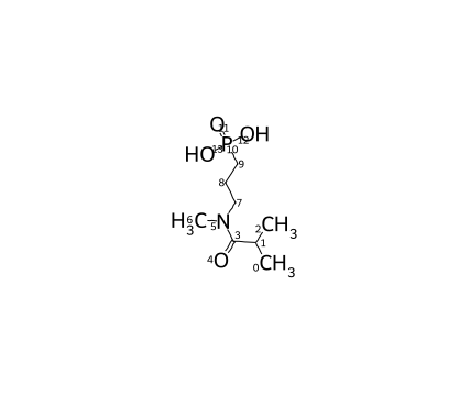 CC(C)C(=O)N(C)CCCP(=O)(O)O